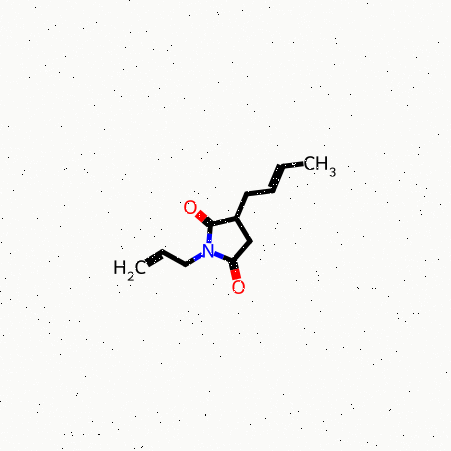 C=CCN1C(=O)CC(C/C=C/C)C1=O